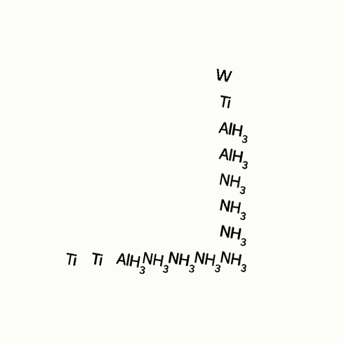 N.N.N.N.N.N.N.[AlH3].[AlH3].[AlH3].[Ti].[Ti].[Ti].[W]